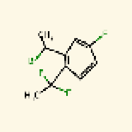 CC(Br)c1cc(F)ccc1C(C)(F)F